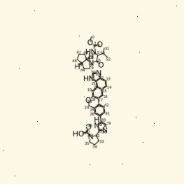 COC(=O)NC(C(=O)N1[C@H](c2nc3ccc4cc5c(cc4c3[nH]2)OCc2cc(-c3cnc(C4CCCN4C(=O)O)[nH]3)ccc2-5)C[C@@H]2CCC[C@@H]21)C(C)C